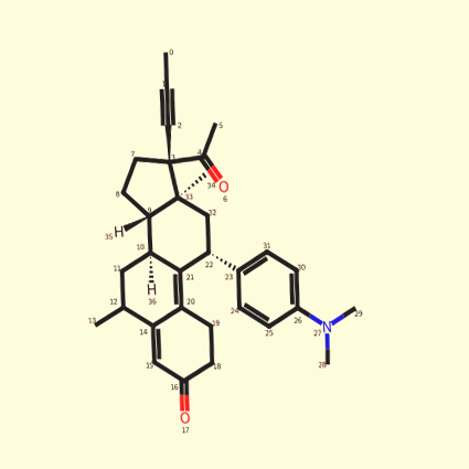 CC#C[C@]1(C(C)=O)CC[C@H]2[C@@H]3CC(C)C4=CC(=O)CCC4=C3[C@@H](c3ccc(N(C)C)cc3)C[C@@]21C